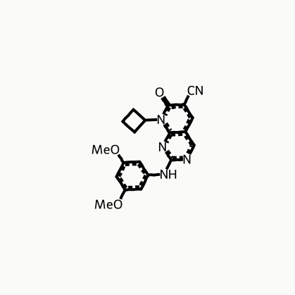 COc1cc(Nc2ncc3cc(C#N)c(=O)n(C4CCC4)c3n2)cc(OC)c1